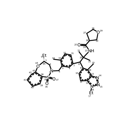 CC[C@@H]1CN(Cc2cc(C(c3ccc4c(nnn4CC)c3C)C(C)(C)NC(=O)C3CCOC3)ccc2C)S(=O)(=O)c2ccccc2O1